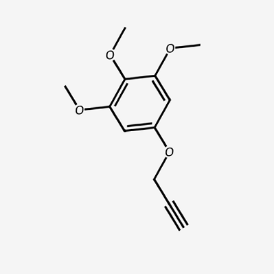 C#CCOc1cc(OC)c(OC)c(OC)c1